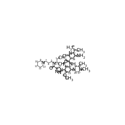 CCC(C)N(CCCN1CCCCC1)C(=O)c1cn(-c2c(OC)cc(N3CCN(C)C(C)C3)c(NC(=O)c3cc(N)c(C(C)C)nc3Cl)c2F)nn1